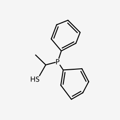 CC(S)P(c1ccccc1)c1ccccc1